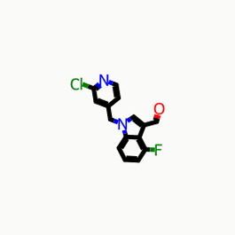 O=Cc1cn(Cc2ccnc(Cl)c2)c2cccc(F)c12